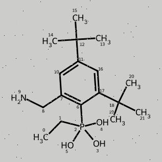 CCP(O)(O)(O)c1c(CN)cc(C(C)(C)C)cc1C(C)(C)C